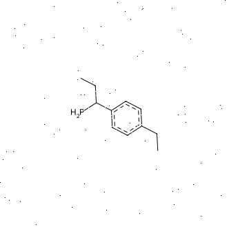 CCc1ccc(C(P)CC)cc1